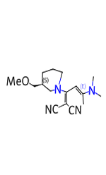 COC[C@H]1CCCN(C(/C=C(\C)N(C)C)=C(C#N)C#N)C1